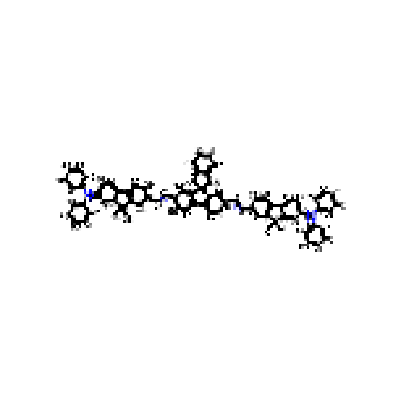 CC1(C)c2cc(/C=C/c3ccc4c(c3)C3(Cc5ccccc5C3)c3cc(/C=C/c5ccc6c(c5)C(C)(C)c5cc(N(c7ccccc7)c7ccccc7)ccc5-6)ccc3-4)ccc2-c2ccc(N(c3ccccc3)c3ccccc3)cc21